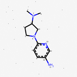 CN(C)C1CCN(c2ccc(N)cn2)C1